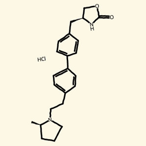 C[C@@H]1CCCN1CCc1ccc(-c2ccc(C[C@H]3COC(=O)N3)cc2)cc1.Cl